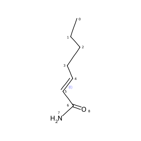 CCCC/C=C/C(N)=O